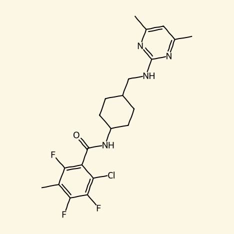 Cc1cc(C)nc(NCC2CCC(NC(=O)c3c(F)c(C)c(F)c(F)c3Cl)CC2)n1